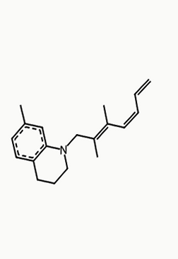 C=C/C=C\C(C)=C(/C)CN1CCCc2ccc(C)cc21